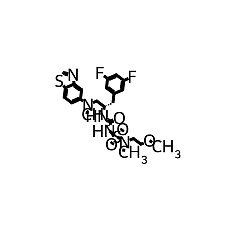 COCCN(C)S(=O)(=O)NC(=O)N[C@@H](Cc1cc(F)cc(F)c1)CN(C)c1ccc2scnc2c1